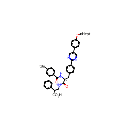 CCCCCCCOc1ccc(-c2cnc(-c3ccc(C[C@H](NC(=O)c4ccc(C(C)(C)C)cc4)C(=O)NCC(C(=O)O)c4ccccc4)cc3)nc2)cc1